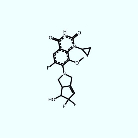 COc1c(N2CC3=CC(F)(F)C(O)C3C2)c(F)cc2c(=O)[nH]c(=O)n(C3CC3)c12